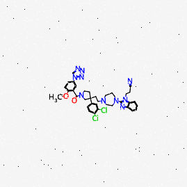 COc1ccc(-n2cnnn2)cc1C(=O)N1CCC(CCN2CCCN(c3nc4ccccc4n3CCC#N)CC2)(c2ccc(Cl)c(Cl)c2)C1